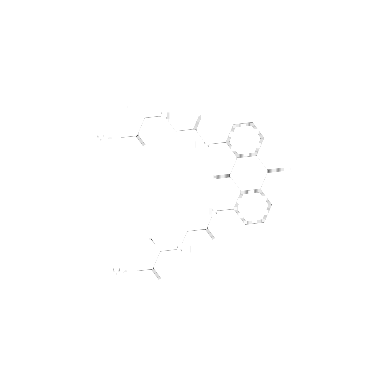 COC(=O)[C@H](C)NCC(=O)Nc1cccc2c1C(=O)c1c(NC(=O)CN[C@H](I)C(=O)OC)cccc1C2=O